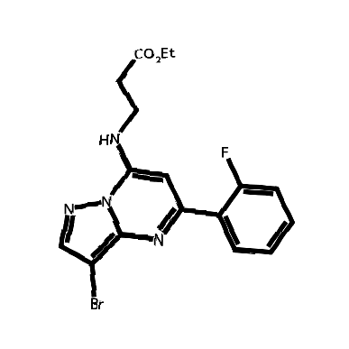 CCOC(=O)CCNc1cc(-c2ccccc2F)nc2c(Br)cnn12